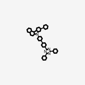 c1ccc(-c2ccc3c4c5ccccc5ccc4n(-c4ccc(-c5ccc(-c6nc(-c7ccccc7)nc(-c7ccccc7)n6)cc5)cc4)c3c2)cc1